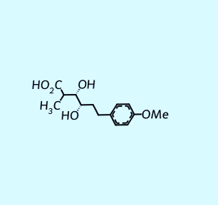 COc1ccc(CC[C@H](O)[C@@H](O)C(C)C(=O)O)cc1